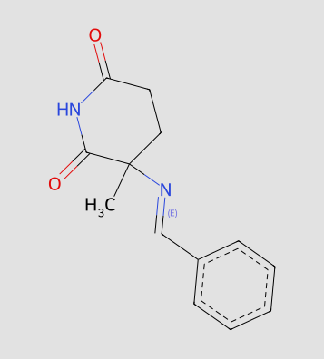 CC1(/N=C/c2ccccc2)CCC(=O)NC1=O